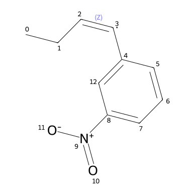 CC/C=[C]\c1cccc([N+](=O)[O-])c1